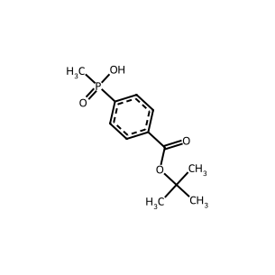 CC(C)(C)OC(=O)c1ccc(P(C)(=O)O)cc1